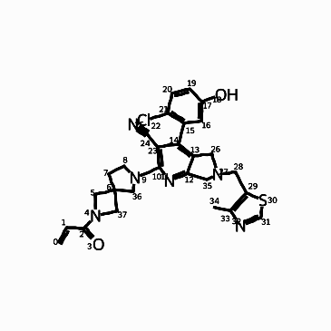 C=CC(=O)N1CC2(CCN(c3nc4c(c(-c5cc(O)ccc5Cl)c3C#N)CN(Cc3scnc3C)C4)C2)C1